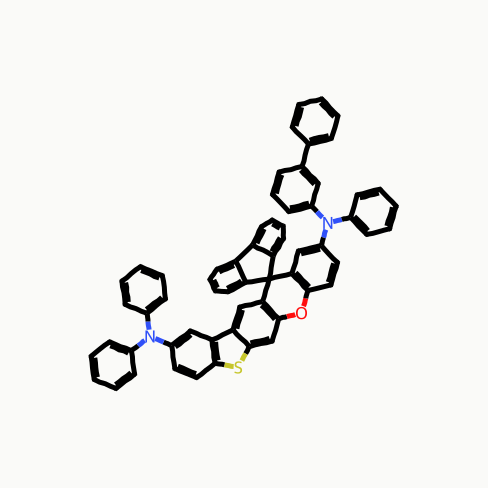 c1ccc(-c2cccc(N(c3ccccc3)c3ccc4c(c3)C3(c5cc6c(cc5O4)sc4ccc(N(c5ccccc5)c5ccccc5)cc46)c4ccccc4-c4ccccc43)c2)cc1